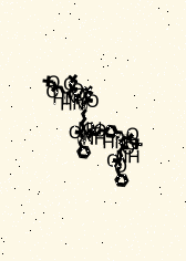 CC(C)(C)OC(=O)CC[C@H](NC(=O)N[C@@H](CCCCNC(=O)[C@H](Cc1ccccc1)NC(=O)COc1ccc(C[C@H](NC(=O)CNC(=O)OCc2ccccc2)C(=O)OC(C)(C)C)cc1)C(=O)OC(C)(C)C)C(=O)OC(C)(C)C